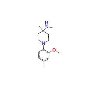 CNC1(C)CCN(c2ccc(C)cc2OC)CC1